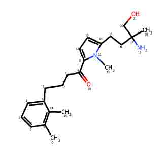 Cc1cccc(CCCC(=O)c2ccc(CCC(C)(N)CO)n2C)c1C